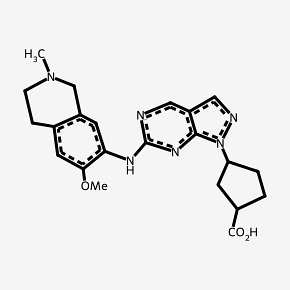 COc1cc2c(cc1Nc1ncc3cnn(C4CCC(C(=O)O)C4)c3n1)CN(C)CC2